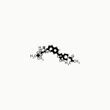 CC(C)C(=O)N1CCC(/C=C/c2ccc3ccc(N(C)NC(=O)OC(C)(C)C)nc3c2)(C(=O)O)CC1